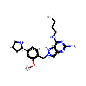 CCCCNc1nc(N)nc2cn(Cc3ccc([C@H]4CCCN4)cc3OC)nc12